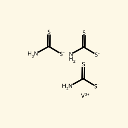 NC(=S)[S-].NC(=S)[S-].NC(=S)[S-].[V+3]